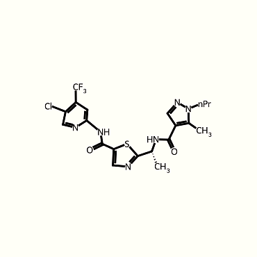 CCCn1ncc(C(=O)N[C@H](C)c2ncc(C(=O)Nc3cc(C(F)(F)F)c(Cl)cn3)s2)c1C